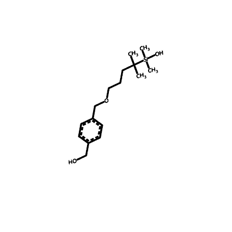 CC(C)(CCCOCc1ccc(CO)cc1)[Si](C)(C)O